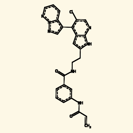 C=CC(=O)Nc1cccc(C(=O)NCCc2cc3c(-c4cnn5ncccc45)c(Cl)cnc3[nH]2)c1